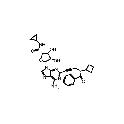 Nc1nc(C#CCN(C(=O)c2ccccc2)C2CCC2)nc2c1ncn2[C@@H]1O[C@H](C(=O)NC2CC2)[C@@H](O)[C@H]1O